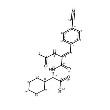 CC(=O)NC(=Cc1ccc(C#N)cc1)C(=O)N[C@H](C(=O)O)C1CCCCC1